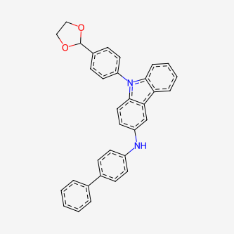 c1ccc(-c2ccc(Nc3ccc4c(c3)c3ccccc3n4-c3ccc(C4OCCO4)cc3)cc2)cc1